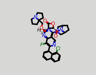 C[C@H]1C(=O)O[C@H]1C(=O)N1C2CCC1CN(c1nc(OCC34CCCN3CCC4)nc3c(F)c(-c4cccc5cccc(Cl)c45)ncc13)C2